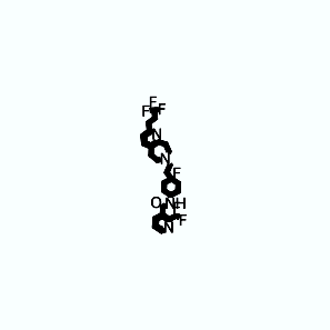 O=C(NC1CCC(F)(CCN2CCc3ccc(CCC(F)(F)F)nc3CC2)CC1)c1cccnc1C(F)F